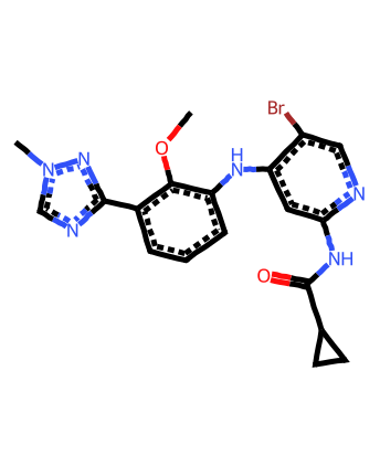 COc1c(Nc2cc(NC(=O)C3CC3)ncc2Br)cccc1-c1ncn(C)n1